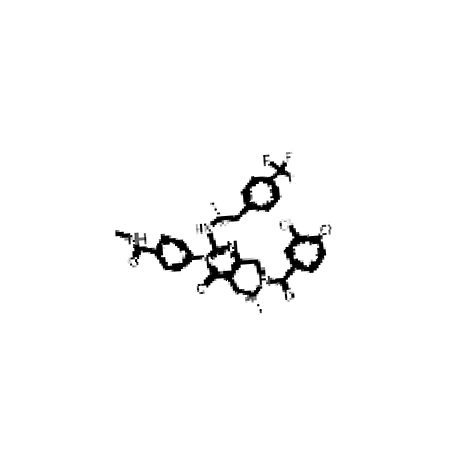 CNC(=O)c1ccc(-n2c(N[C@H](C)Cc3ccc(C(F)(F)F)cc3)nc3c(c2=O)C[C@@H](C)N(C(=O)c2ccc(Cl)c(Cl)c2)C3)cc1